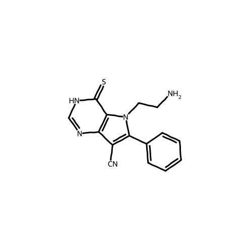 N#Cc1c(-c2ccccc2)n(CCN)c2c(=S)[nH]cnc12